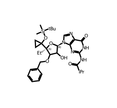 CC[C@]1(C2(O[Si](C)(C)C(C)(C)C)CC2)O[C@@H](n2cnc3c(=O)[nH]c(NC(=O)C(C)C)nc32)C(O)C1OCc1ccccc1